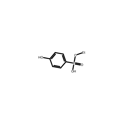 CCOP(=O)(O)c1ccc(O)cc1